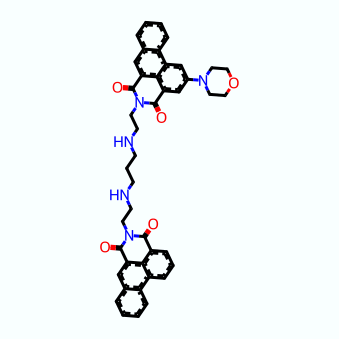 O=C1c2cccc3c2c(cc2ccccc23)C(=O)N1CCNCCCNCCN1C(=O)c2cc(N3CCOCC3)cc3c2c(cc2ccccc23)C1=O